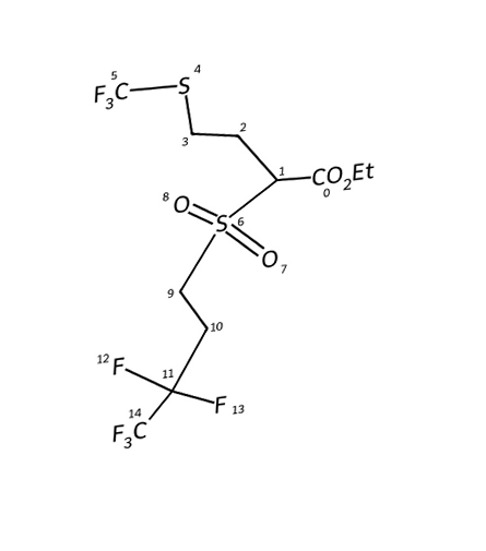 CCOC(=O)C(CCSC(F)(F)F)S(=O)(=O)CCC(F)(F)C(F)(F)F